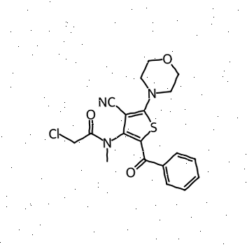 CN(C(=O)CCl)c1c(C(=O)c2ccccc2)sc(N2CCOCC2)c1C#N